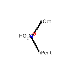 CCCCCC=CCC=CCCCCCCCCN(CCOCCCCCCCCC=CCCCCCCCC)C(=O)O